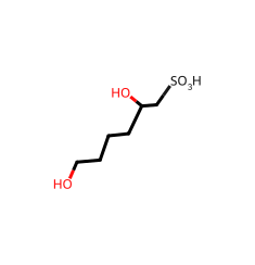 O=S(=O)(O)CC(O)CCCCO